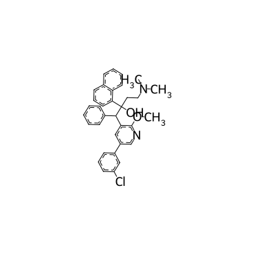 COc1ncc(-c2cccc(Cl)c2)cc1C(c1ccccc1)C(O)(CCN(C)C)c1cccc2ccccc12